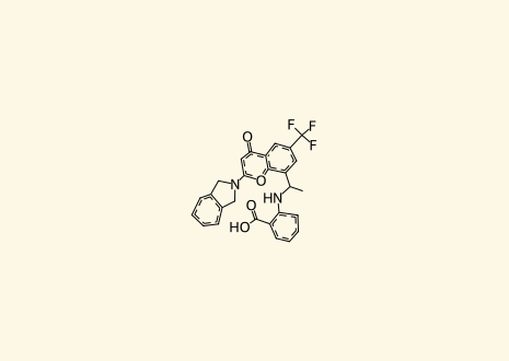 CC(Nc1ccccc1C(=O)O)c1cc(C(F)(F)F)cc2c(=O)cc(N3Cc4ccccc4C3)oc12